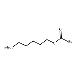 CCCCCCCCCCCCOC(=O)C(C)CC